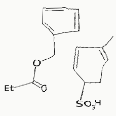 CC1=CCC(S(=O)(=O)O)C=C1.CCC(=O)OCc1ccccc1